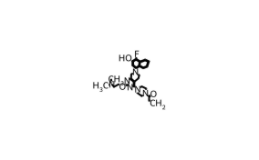 C=CC(=O)N1CCN(c2nc(OCCN(C)C)nc3c2CCN(c2cc(O)c(F)c4ccccc24)C3)CC1